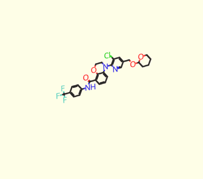 O=C(Nc1ccc(C(F)(F)F)cc1)c1cccc2c1OCCN2c1ncc(COC2CCCCO2)cc1Cl